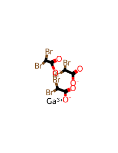 O=C([O-])C(Br)Br.O=C([O-])C(Br)Br.O=C([O-])C(Br)Br.[Ga+3]